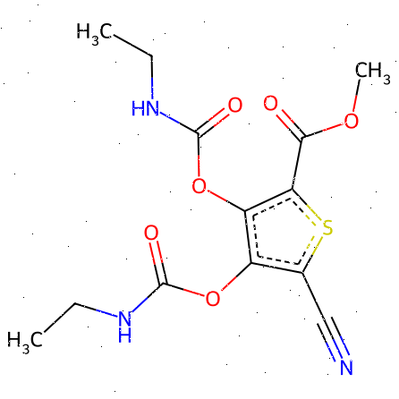 CCNC(=O)Oc1c(C#N)sc(C(=O)OC)c1OC(=O)NCC